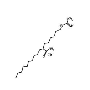 CCCCCCCCCCC(CCCCCCNC(=N)N)C(N)=O.Cl